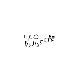 Cc1ccccc1CN(Cc1cccnc1)CC1(COc2ccc(C(F)(F)F)cc2)CC1